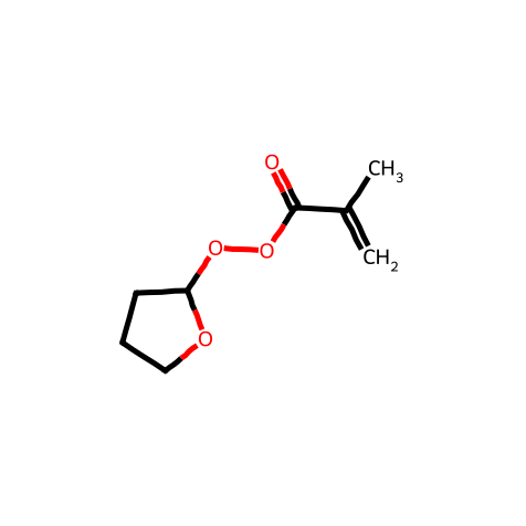 C=C(C)C(=O)OOC1CCCO1